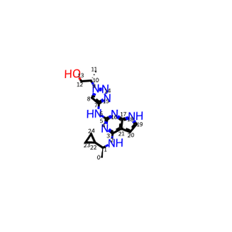 C[C@H](Nc1nc(Nc2cn([C@@H](C)CO)nn2)nc2[nH]ccc12)C1CC1